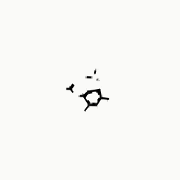 CCC(=O)Oc1ccc(C(C)(C)C)cc1C(C)(C)C.OP(O)O